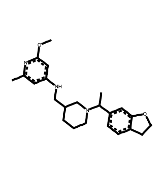 COc1cc(NCC2CCCN(C(C)c3ccc4c(c3)OCC4)C2)cc(C)n1